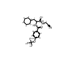 N#CCNC(=O)C(CC1CCCCC1)NC(=O)c1ccc(OC(F)(F)F)cc1